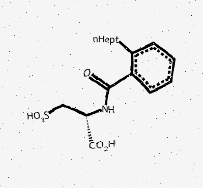 CCCCCCCc1ccccc1C(=O)N[C@@H](CS(=O)(=O)O)C(=O)O